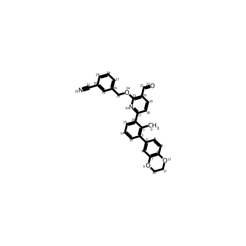 Cc1c(-c2ccc3c(c2)OCCO3)cccc1-c1ccc(C=O)c(OCc2cccc(C#N)c2)n1